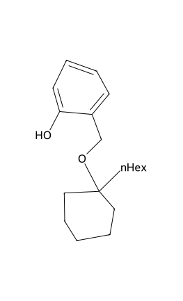 CCCCCCC1(OCc2ccccc2O)CCCCC1